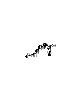 CC(C)(C)OC(=O)CN1CCN(Cc2cccc(Nc3nccc(-c4ccc(NCCCNC(=O)OC(C)(C)C)nc4)n3)c2)C(CO)C1